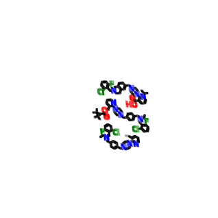 CC(C)N1C=CC=C(C(=O)O)C1N1CCN(Cc2ccc3c(c2)CCN(Cc2c(F)cccc2Cl)C3)CC1.CCN(Cc1ccc(CN2CCN(c3ncccc3COC(=O)C3C(C)(C)C3(C)C)CC2)cc1)Cc1c(F)cccc1Cl.[CH2]c1cccnc1N1CCN(Cc2ccc(CN(CC)Cc3c(F)cccc3Cl)cc2)CC1